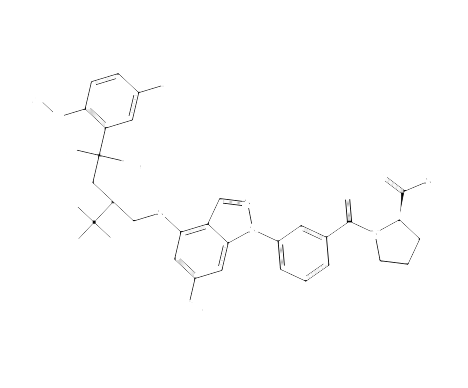 COc1ccc(F)cc1C(C)(C)C[C@@](O)(CNc1cc(C)cc2c1cnn2-c1cccc(C(=O)N2CCC[C@@H]2C(N)=O)c1)C(F)(F)F